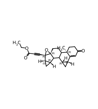 CCOC(=O)C#C[C@@]12O[C@@]13CCC1C(C3[C@@H]3C[C@@H]32)[C@H]2C[C@H]2C2=CC(=O)CC[C@@]21C